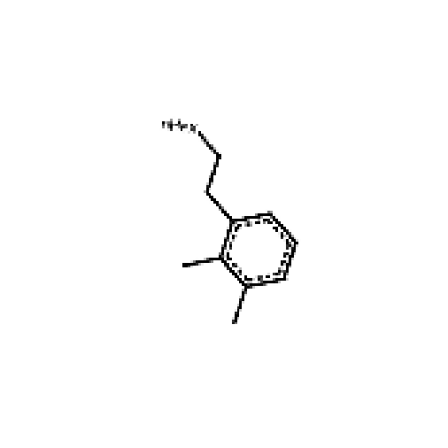 CCCCCCCCc1cc[c]c(C)c1C